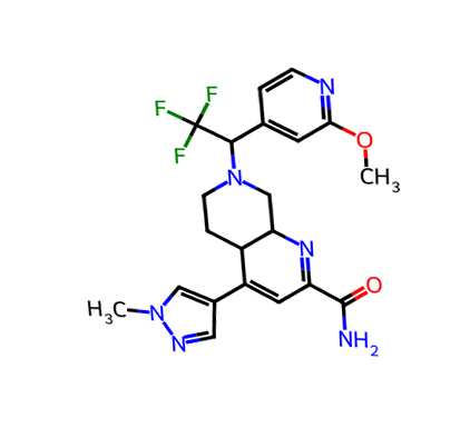 COc1cc(C(N2CCC3C(c4cnn(C)c4)=CC(C(N)=O)=NC3C2)C(F)(F)F)ccn1